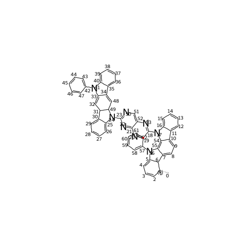 C[C@@H]1C=CC=C2C1c1ccc3c4ccccc4n(-c4cnc5nc(N6c7ccccc7C7C=c8c(c9ccccc9n8-c8ccccc8)=CC76)ncc5n4)c3c1N2c1ccccc1